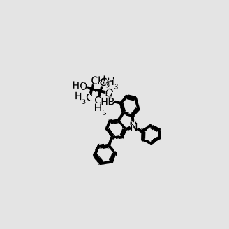 CC(C)(O)C(C)(C)OBc1cccc2c1c1ccc(-c3ccccc3)cc1n2-c1ccccc1